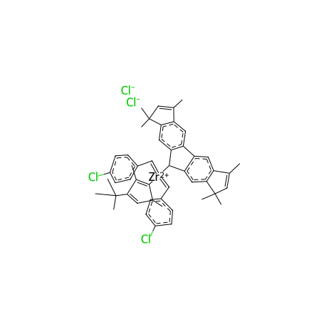 CC1=CC(C)(C)c2cc3c(cc21)-c1cc2c(cc1[CH]3[Zr+2](=[CH]c1ccc(Cl)cc1)(=[CH]c1ccc(Cl)cc1)[C]1=C(C)C(C(C)(C)C)=CC1C)C(C)(C)C=C2C.[Cl-].[Cl-]